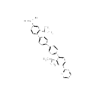 CC1(C)c2cc(B(O)O)ccc2-c2ccc(-c3ccc4c(c3)C(C)(C)c3cc(-c5ncccn5)ccc3-4)cc21